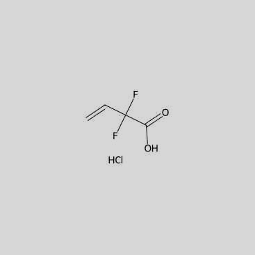 C=CC(F)(F)C(=O)O.Cl